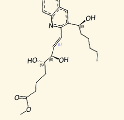 CCCCC[C@H](O)c1cc2ccccc2nc1/C=C/[C@@H](O)[C@@H](O)CCCC(=O)OC